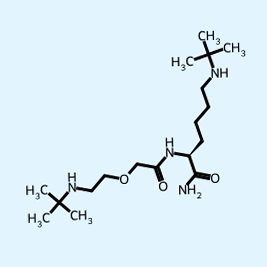 CC(C)(C)NCCCC[C@H](NC(=O)COCCNC(C)(C)C)C(N)=O